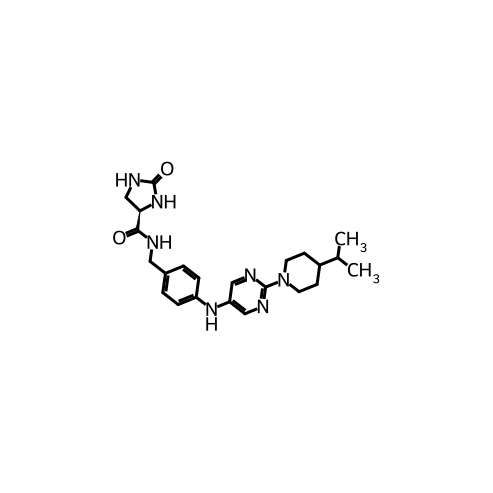 CC(C)C1CCN(c2ncc(Nc3ccc(CNC(=O)[C@H]4CNC(=O)N4)cc3)cn2)CC1